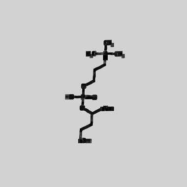 CCCCCCCCCCCCC(CCCCCCCCC)OP(=O)(O)OCCC[PH](C)(C)C